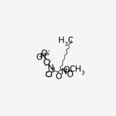 CCCCCCCCCCC/C(=N\OC(C)=O)C(=O)c1cn(-c2ccc([N+](=O)[O-])cc2)c2ccccc12